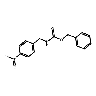 O=C(NCc1ccc([N+](=O)[O-])cc1)OCc1ccccc1